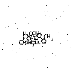 Cc1ccccc1-c1cccc2c1C=C1[CH]2[Hf]([CH3])([CH3])[CH]2C(=Cc3c(-c4ccccc4C)cccc32)[Si]1(C(C)(C)C)C(C)(C)C